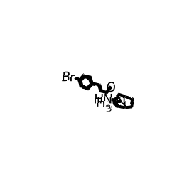 CN1C2CCC1CC(NC(=O)C=Cc1ccc(Br)cc1)C2